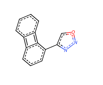 c1ccc2c(c1)=c1cccc(-c3conn3)c1=2